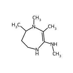 CNC1=C(C)N(C)C(C)CCN1